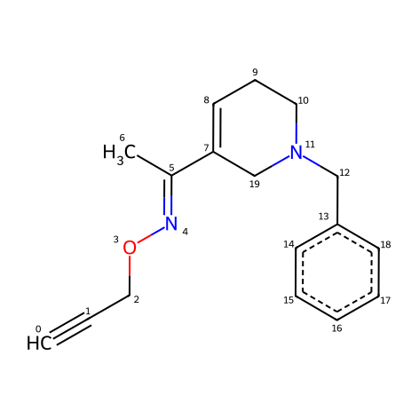 C#CCON=C(C)C1=CCCN(Cc2ccccc2)C1